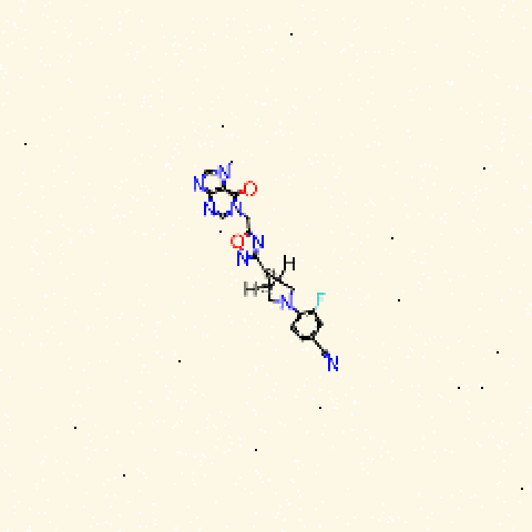 Cn1cnc2ncn(Cc3nc([C@H]4[C@@H]5CN(c6ccc(C#N)cc6F)C[C@@H]54)no3)c(=O)c21